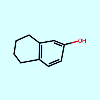 Oc1ccc2c(c1)[CH]CCC2